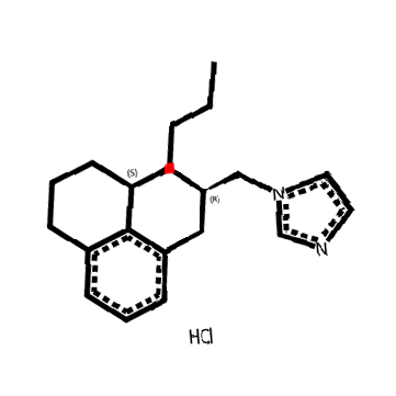 CCCC[C@@]12CCCc3cccc(c31)C[C@H](Cn1ccnc1)C2.Cl